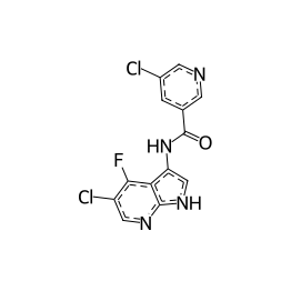 O=C(Nc1c[nH]c2ncc(Cl)c(F)c12)c1cncc(Cl)c1